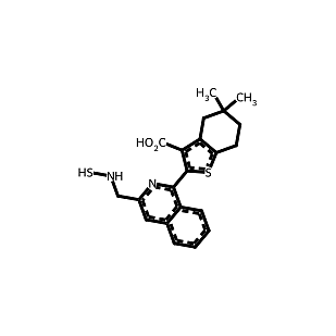 CC1(C)CCc2sc(-c3nc(CNS)cc4ccccc34)c(C(=O)O)c2C1